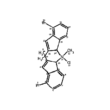 CC1=Cc2c(C(C)C)cccc2C1[Si](C)(Cl)C1C(C)=Cc2c(C(C)C)cccc21